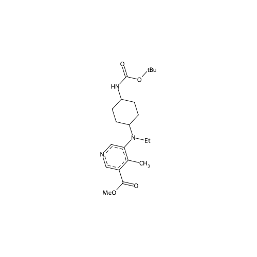 CCN(c1cncc(C(=O)OC)c1C)C1CCC(NC(=O)OC(C)(C)C)CC1